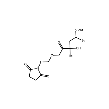 CCCCCC(CC)CC(O)(CC)C(=O)COCON1C(=O)CCC1=O